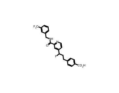 O=C(O)c1ccc(CCC(F)c2ccnc(C(=O)NCc3cccc(C(F)(F)F)c3)c2)cc1